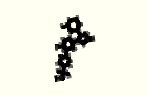 Cc1cccc(-c2n[nH]cc2-c2ccc(F)c(-c3ncc(C(C)(C)O)cn3)c2)n1